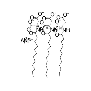 CCCCCCCCCCCC(=O)N[C@@H](CC(=O)[O-])C(=O)[O-].CCCCCCCCCCCC(=O)N[C@@H](CC(=O)[O-])C(=O)[O-].CCCCCCCCCCCC(=O)N[C@@H](CC(=O)[O-])C(=O)[O-].[Al+3].[Al+3]